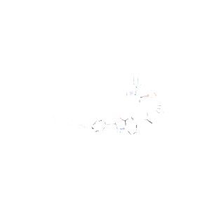 C=C(c1ccc2nc(-c3ccc(OCC(=O)O)cc3)oc2c1)C(CC)CC(=O)NN